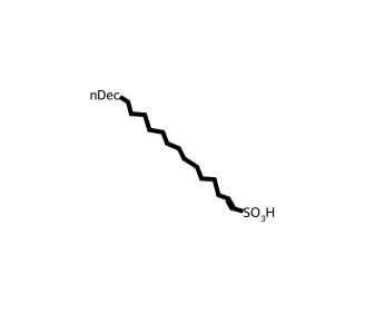 CCCCCCCCCCCCCCCCCCCCCC/C=C/S(=O)(=O)O